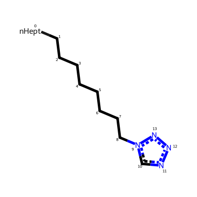 CCCCCCCCCCCCCCCn1cnnn1